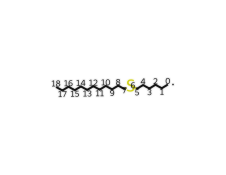 [CH2]CCCCCSCCCCCCCCCCCC